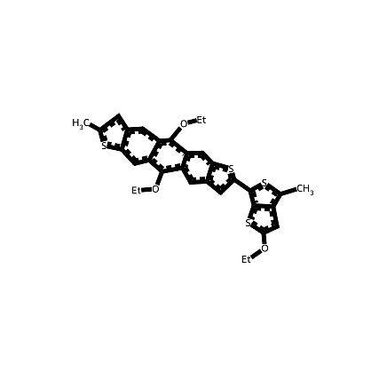 CCOc1cc2c(C)sc(-c3cc4cc5c(OCC)c6cc7sc(C)cc7cc6c(OCC)c5cc4s3)c2s1